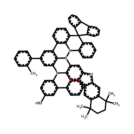 CCCCc1ccc(N2c3cc4c(cc3B3c5c(cc(-c6ccccc6C)cc52)-c2cccc5c2N3c2ccccc2C52c3ccccc3-c3ccccc32)oc2cc3c(cc24)C(C)(C)CCC3(C)C)c(-c2ccccc2)c1